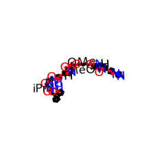 COc1cc2c(cc1OCCCCCOc1cc3c(cc1OC)C(=O)N1C=C(c4ccc(N5CCN(C)CC5)cc4)C[C@H]1C=N3)N=C[C@@H]1CC(c3ccc(NC(=O)[C@H](C)NC(=O)[C@@H](NC(=O)OCC4c5ccccc5-c5ccccc54)C(C)C)cc3)=CC1C2=O